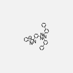 c1ccc(-c2cccc(-c3nc(-c4cccc(-c5ccccc5)c4)nc(-c4cccc(-c5ncnc6c5oc5ccccc56)c4)n3)c2)cc1